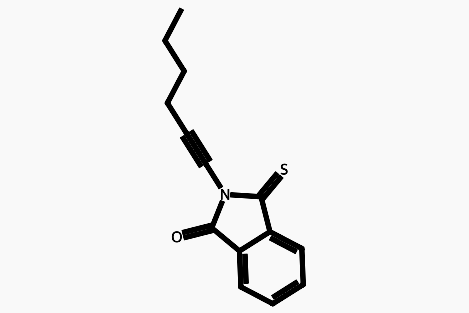 CCCCC#CN1C(=O)c2ccccc2C1=S